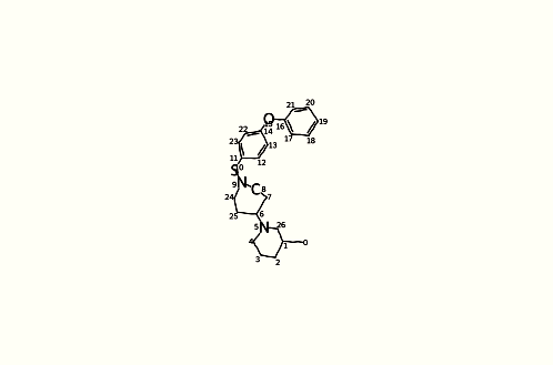 CC1CCCN(C2CCN(Sc3ccc(Oc4ccccc4)cc3)CC2)C1